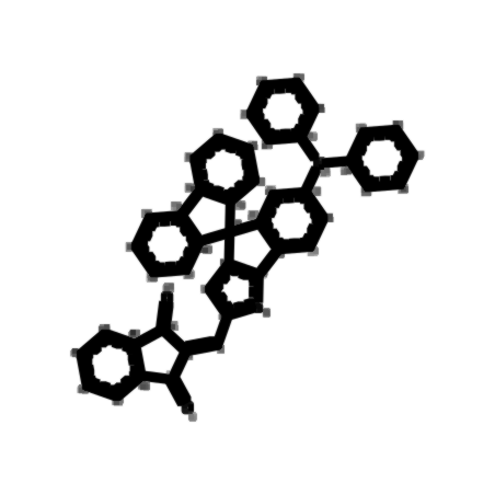 O=C1C(=Cc2cc3c(s2)-c2ccc(N(c4ccccc4)c4ccccc4)cc2C32c3ccccc3-c3ccccc32)C(=O)c2ccccc21